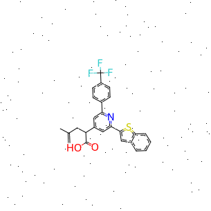 C=C(C)CC(C(=O)O)c1cc(-c2ccc(C(F)(F)F)cc2)nc(-c2cc3ccccc3s2)c1